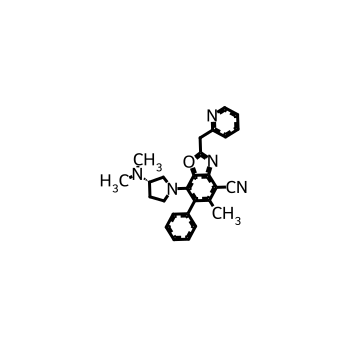 Cc1c(-c2ccccc2)c(N2CC[C@H](N(C)C)C2)c2oc(Cc3ccccn3)nc2c1C#N